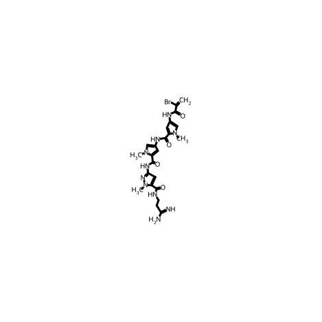 C=C(Br)C(=O)Nc1cc(C(=O)Nc2cc(C(=O)Nc3cc(C(=O)NCCC(=N)N)n(C)n3)n(C)c2)n(C)c1